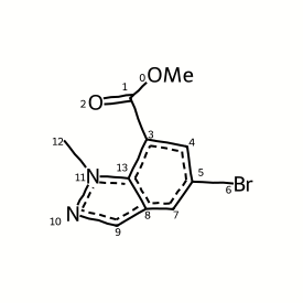 COC(=O)c1cc(Br)cc2cnn(C)c12